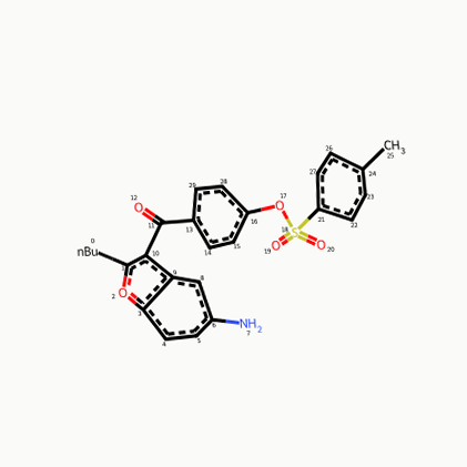 CCCCc1oc2ccc(N)cc2c1C(=O)c1ccc(OS(=O)(=O)c2ccc(C)cc2)cc1